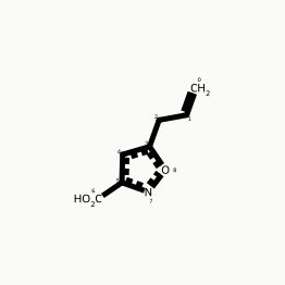 C=CCc1cc(C(=O)O)no1